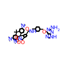 CN(C)c1ccc2c(c1)C(C)(C)c1cc(N(C)C)ccc1C21c2cc(C(=O)NCc3ccc(COc4nc(N)nc5[nH]cnc45)cc3)ccc2C(=O)N1S(=O)(=O)N(C)C